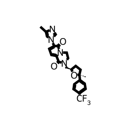 Cc1cn(-c2ccc3n(c2=O)CCN(C[C@H]2CC[C@@](C)(c4ccc(C(F)(F)F)cc4)O2)C3=O)cn1